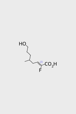 CC(C/C=C(\F)C(=O)O)CCCO